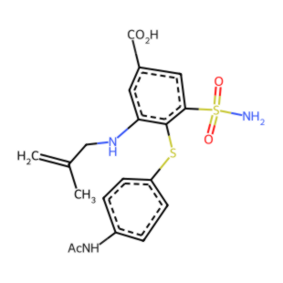 C=C(C)CNc1cc(C(=O)O)cc(S(N)(=O)=O)c1Sc1ccc(NC(C)=O)cc1